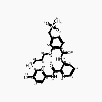 CS(=O)(=O)Cc1ccc(C(=O)Nc2cccnc2C(=O)Nc2ccc(Cl)cn2)c(OCCCN)c1